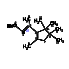 CO/N=C(\C)C1=C(C)CC(C)(C)C1(C)C